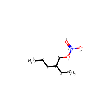 CCCC(CC)CO[N+](=O)[O-]